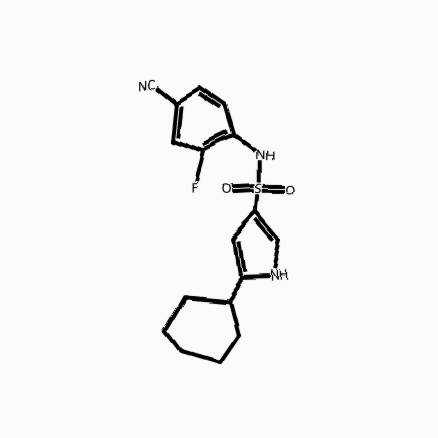 N#Cc1ccc(NS(=O)(=O)c2c[nH]c(C3CCCCC3)c2)c(F)c1